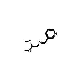 COC(CN=Cc1cccnc1)OC